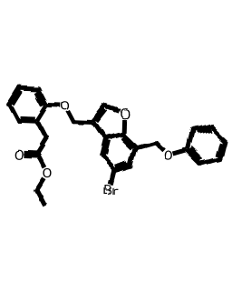 CCOC(=O)Cc1ccccc1OCc1coc2c(COc3ccccc3)cc(Br)cc12